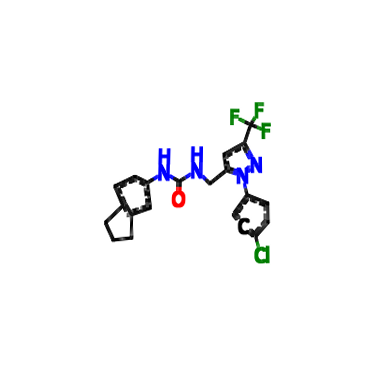 O=C(NCc1cc(C(F)(F)F)nn1-c1ccc(Cl)cc1)Nc1ccc2c(c1)CCC2